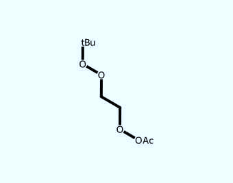 CC(=O)OOCCOOC(C)(C)C